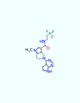 Cn1cc(C(=O)NCCC(F)(F)F)c2c1CCN(c1ncnc3[nH]ccc13)C2